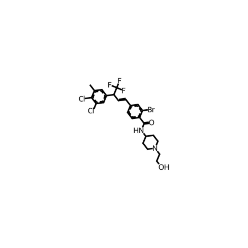 Cc1cc(C(/C=C/c2ccc(C(=O)NC3CCN(CCO)CC3)c(Br)c2)C(F)(F)F)cc(Cl)c1Cl